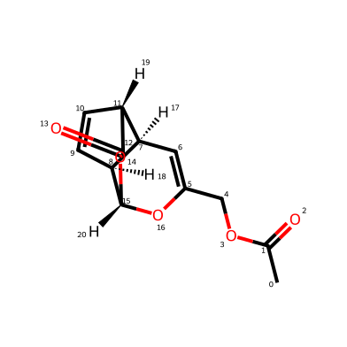 CC(=O)OCC1=C[C@H]2[C@@H]3C=C[C@H]2C(=O)O[C@@H]3O1